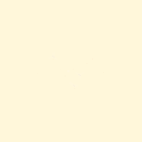 CC1=CNCC(/C(C=N)=C/NC2CCOCC2)=C1